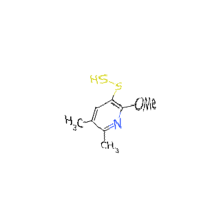 COc1nc(C)c(C)cc1SS